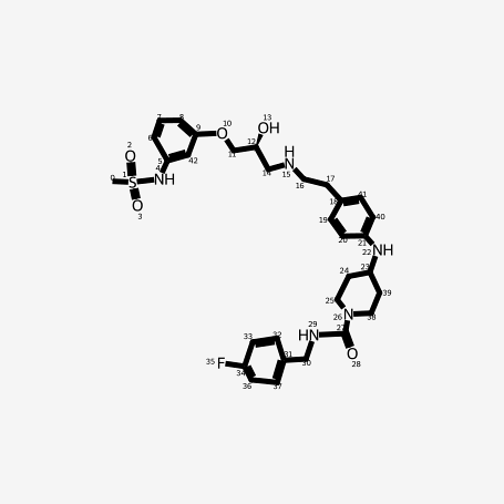 CS(=O)(=O)Nc1cccc(OC[C@@H](O)CNCCc2ccc(NC3CCN(C(=O)NCc4ccc(F)cc4)CC3)cc2)c1